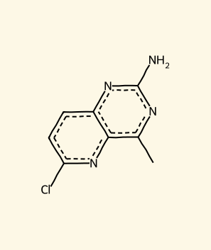 Cc1nc(N)nc2ccc(Cl)nc12